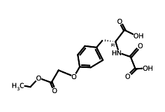 CCOC(=O)COc1ccc(C[C@@H](NC(=O)C(=O)O)C(=O)O)cc1